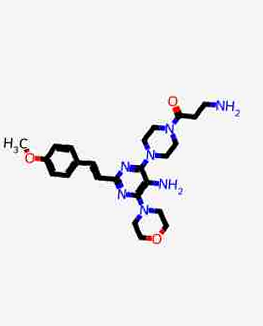 COc1ccc(/C=C/c2nc(N3CCOCC3)c(N)c(N3CCN(C(=O)CCN)CC3)n2)cc1